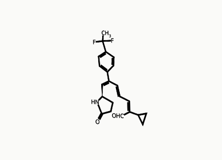 CC(F)(F)c1ccc(C(/C=C/C=C(\C=O)C2CC2)=C/[C@H]2CCC(=O)N2)cc1